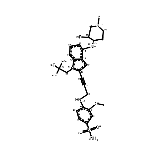 COc1cc(S(N)(=O)=O)ccc1NCC#Cc1cc2c(N[C@H]3CCN(C)CC3F)cccc2n1CC(F)(F)F